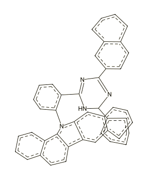 c1ccc(C2N=C(c3ccc4ccccc4c3)N=C(c3ccccc3-n3c4cc5ccccc5cc4c4ccc5ccccc5c43)N2)cc1